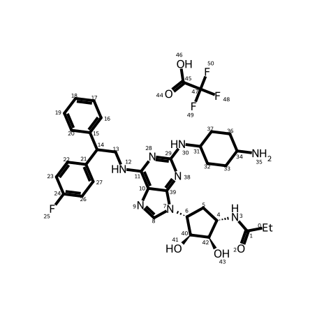 CCC(=O)N[C@H]1C[C@@H](n2cnc3c(NCC(c4ccccc4)c4ccc(F)cc4)nc(NC4CCC(N)CC4)nc32)[C@H](O)[C@@H]1O.O=C(O)C(F)(F)F